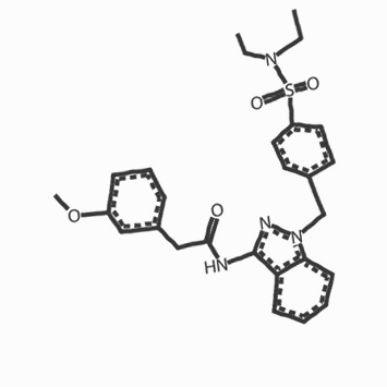 CCN(CC)S(=O)(=O)c1ccc(Cn2nc(NC(=O)Cc3cccc(OC)c3)c3ccccc32)cc1